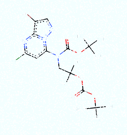 CC(C)(C)OC(=O)OC(C)(C)CN(C(=O)OC(C)(C)C)c1cc(Cl)nc2c(Br)cnn12